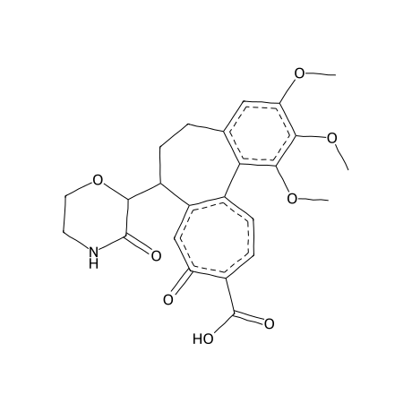 COc1cc2c(c(OC)c1OC)-c1ccc(C(=O)O)c(=O)cc1C(C1OCCNC1=O)CC2